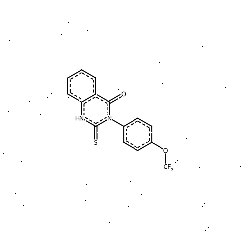 O=c1c2ccccc2[nH]c(=S)n1-c1ccc(OC(F)(F)F)cc1